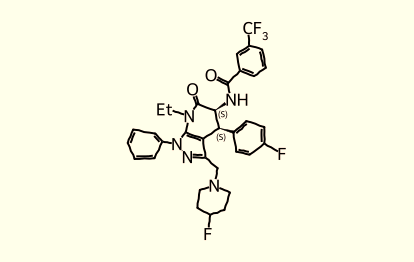 CCN1C(=O)[C@@H](NC(=O)c2cccc(C(F)(F)F)c2)[C@@H](c2ccc(F)cc2)c2c(CN3CCC(F)CC3)nn(-c3ccccc3)c21